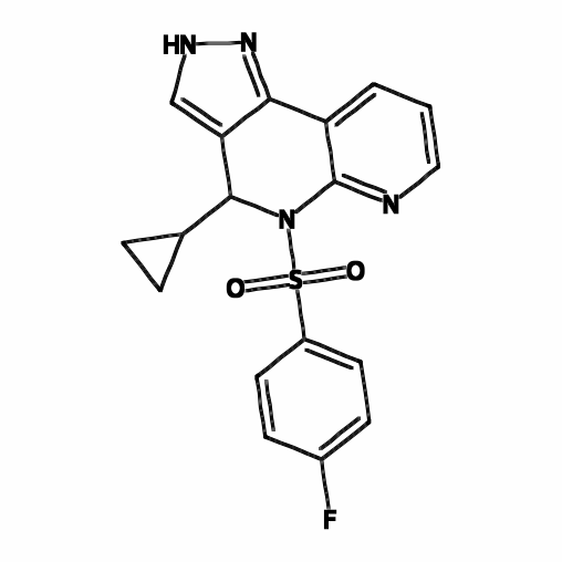 O=S(=O)(c1ccc(F)cc1)N1c2ncccc2-c2n[nH]cc2C1C1CC1